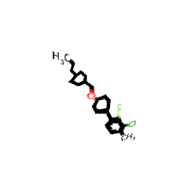 CCCC1CCC(COC2CC=C(c3ccc(C)c(Cl)c3F)CC2)CC1